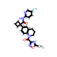 Cc1nc(C(=O)N2CCCc3cc(C4(C(=O)Nc5ccc(F)cn5)CCC4)ccc32)no1